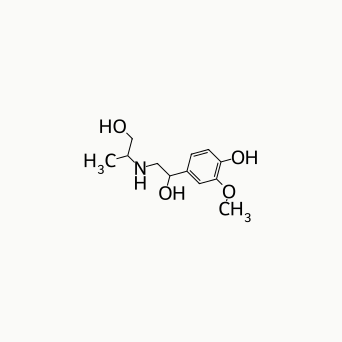 COc1cc(C(O)CNC(C)CO)ccc1O